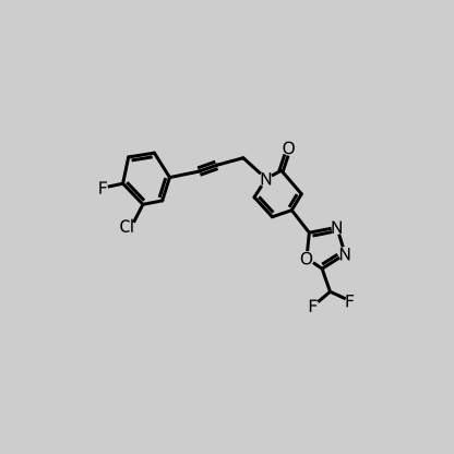 O=c1cc(-c2nnc(C(F)F)o2)ccn1CC#Cc1ccc(F)c(Cl)c1